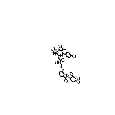 Cc1sc2c(c1C)C(c1ccc(Cl)cc1)=N[C@@H](CC(=O)NCCSc1cccc3c1CN(C1CCC(=O)NC1=O)C3=O)c1nnc(C)n1-2